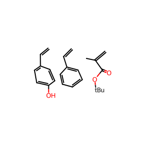 C=C(C)C(=O)OC(C)(C)C.C=Cc1ccc(O)cc1.C=Cc1ccccc1